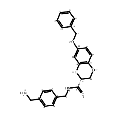 NCc1ccc(CNC(=O)[C@H]2COc3ccc(OCc4ccccc4)cc3O2)cc1